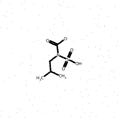 CC(C)CN(C([O])=O)S(=O)(=O)O